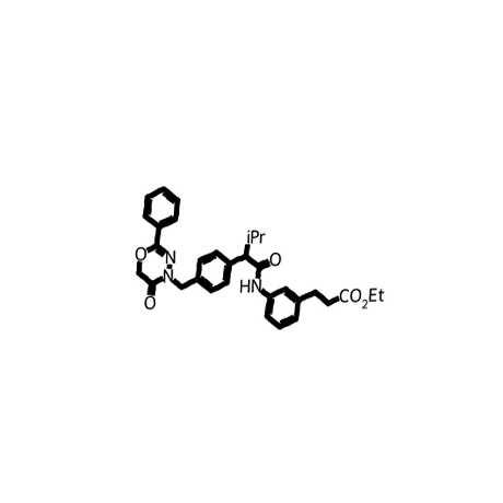 CCOC(=O)CCc1cccc(NC(=O)C(c2ccc(CN3N=C(c4ccccc4)OCC3=O)cc2)C(C)C)c1